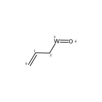 C=C[CH2][W]=[O]